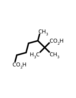 CC(CCCC(=O)O)C(C)(C)C(=O)O